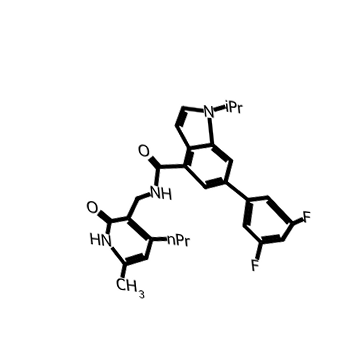 CCCc1cc(C)[nH]c(=O)c1CNC(=O)c1cc(-c2cc(F)cc(F)c2)cc2c1ccn2C(C)C